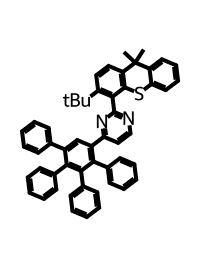 CC(C)(C)c1ccc2c(c1-c1nccc(-c3cc(-c4ccccc4)c(-c4ccccc4)c(-c4ccccc4)c3-c3ccccc3)n1)Sc1ccccc1C2(C)C